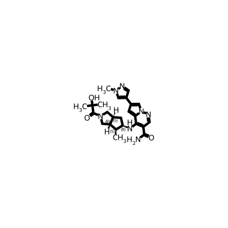 C[C@H]1[C@@H]2CN(C(=O)C(C)(C)O)C[C@H]2C[C@H]1Nc1c(C(N)=O)cnn2cc(-c3cnn(C)c3)cc12